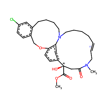 COC(=O)[C@@]1(O)CC(=O)N(C)C/C=C/CCCCN2CCCCc3cc(Cl)ccc3COc3ccc1cc32